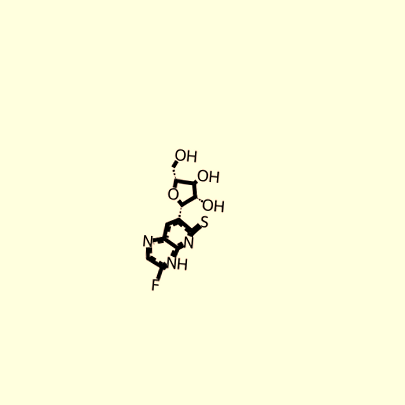 OC[C@H]1O[C@@H](c2cc3ncc(F)[nH]c-3nc2=S)[C@@H](O)C1O